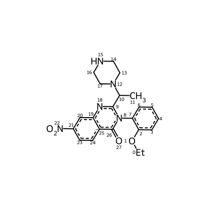 CCOc1ccccc1-n1c(C(C)N2CCNCC2)nc2cc([N+](=O)[O-])ccc2c1=O